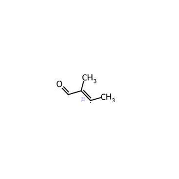 C/[C]=C(\C)C=O